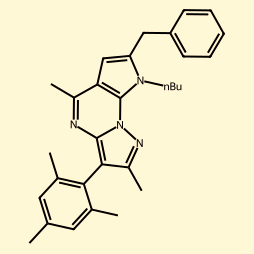 CCCCn1c(Cc2ccccc2)cc2c(C)nc3c(-c4c(C)cc(C)cc4C)c(C)nn3c21